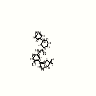 CC1(C)Cc2c(-c3cc(NC(=O)[C@H]4CCC[C@H](c5ccncc5)C4)ncc3Cl)cnn2C1